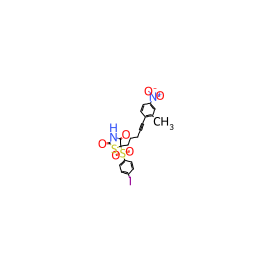 Cc1cc([N+](=O)[O-])ccc1C#CCCCC1(S(=O)(=O)c2ccc(I)cc2)SC(=O)NC1=O